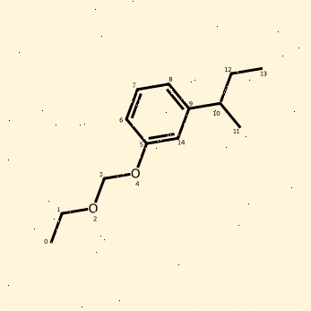 CCOCOc1cccc(C(C)CC)c1